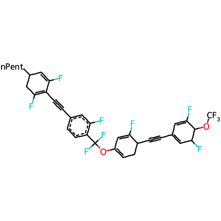 CCCCCC1C=C(F)C(C#Cc2ccc(C(F)(F)OC3=CCC(C#CC4=CC(F)C(OC(F)(F)F)C(F)=C4)C(F)=C3)c(F)c2)=C(F)C1